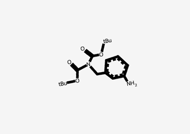 CC(C)(C)OC(=O)N(Cc1cccc(N)c1)C(=O)OC(C)(C)C